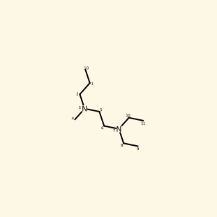 [CH2]CCN(C)CCN(CC)CC